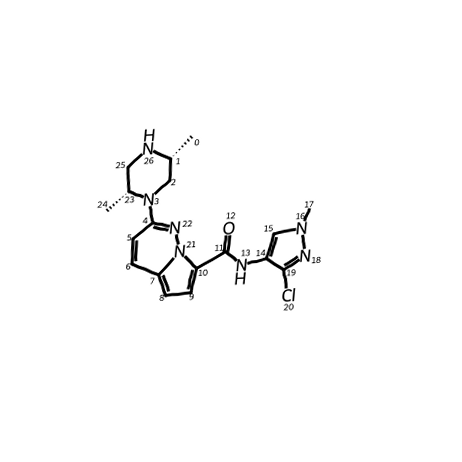 C[C@@H]1CN(c2ccc3ccc(C(=O)Nc4cn(C)nc4Cl)n3n2)[C@H](C)CN1